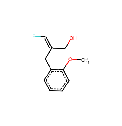 COc1ccccc1C/C(=C\F)CO